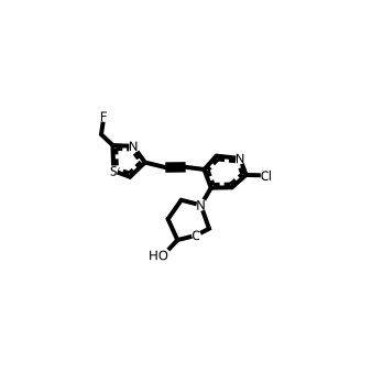 OC1CCN(c2cc(Cl)ncc2C#Cc2csc(CF)n2)CC1